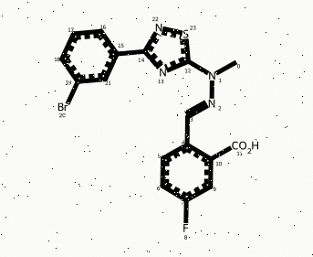 CN(/N=C/c1ccc(F)cc1C(=O)O)c1nc(-c2cccc(Br)c2)ns1